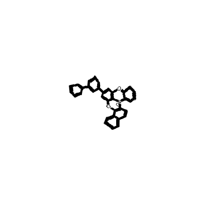 O=P12c3ccccc3Oc3cc(-c4cccc(-c5ccccc5)c4)cc(c31)Oc1c2ccc2ccccc12